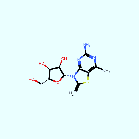 C=C1Sc2c(C)nc(N)nc2N1[C@@H]1O[C@H](CO)[C@@H](O)[C@H]1O